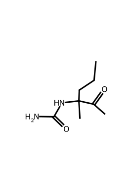 CCCC(C)(NC(N)=O)C(C)=O